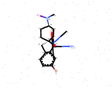 CN1C(=O)C2(N=C1N)c1cc(Br)ccc1C[C@]21CC[C@H](N(C)I)CC1